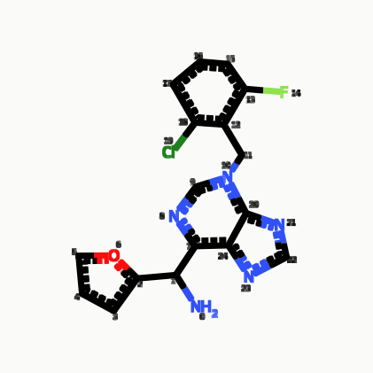 NC(c1ccco1)c1ncn(Cc2c(F)cccc2Cl)c2ncnc1-2